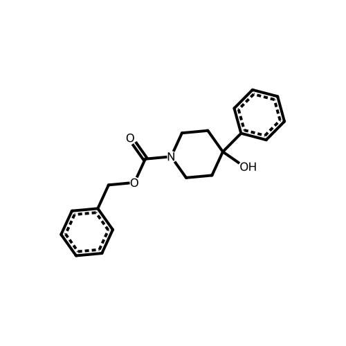 O=C(OCc1ccccc1)N1CCC(O)(c2ccccc2)CC1